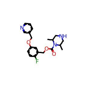 CC1CNCC(C)N1C(=O)OCc1cc(OCc2cccnc2)ccc1F